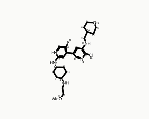 COCCN[C@H]1CC[C@H](Nc2cc(-c3cnc(Cl)c(NCC4CCOCC4)c3)c(F)cn2)CC1